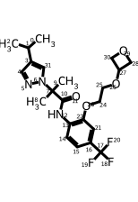 CC(C)c1cnn(C(C)(C)C(=O)Nc2ccc(C(F)(F)F)cc2OCCOC2COC2)c1